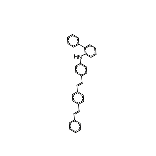 C(=C\c1ccc(/C=C/c2ccc(Nc3ccccc3-c3ccccc3)cc2)cc1)/c1ccccc1